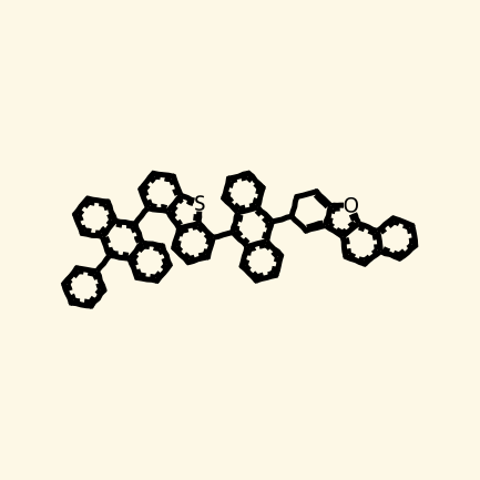 C1=c2oc3c(ccc4ccccc43)c2=CC(c2c3ccccc3c(-c3cccc4c3sc3cccc(-c5c6ccccc6c(-c6ccccc6)c6ccccc56)c34)c3ccccc23)C1